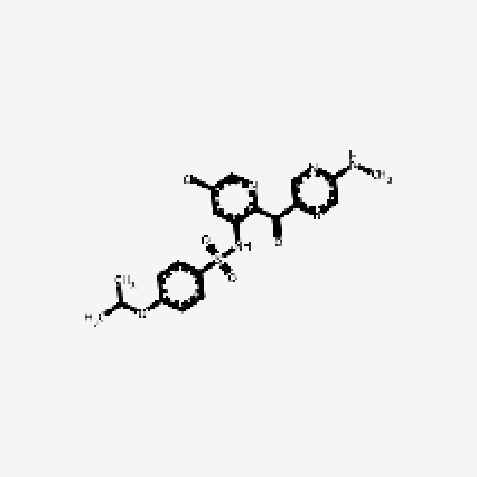 CNc1cnc(C(=O)c2ncc(Cl)cc2NS(=O)(=O)c2ccc(OC(C)C)cc2)cn1